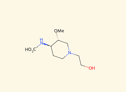 CO[C@@H]1CN(CCO)CC[C@H]1NC(=O)O